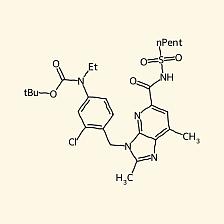 CCCCCS(=O)(=O)NC(=O)c1cc(C)c2nc(C)n(Cc3ccc(N(CC)C(=O)OC(C)(C)C)cc3Cl)c2n1